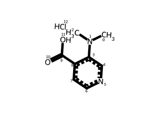 CN(C)c1cnccc1C(=O)O.Cl